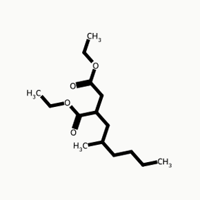 CCCCC(C)CC(CC(=O)OCC)C(=O)OCC